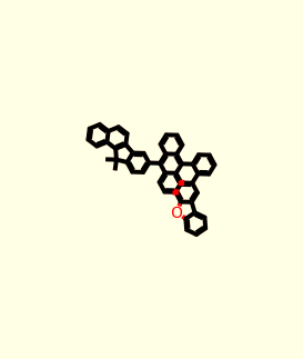 CC1(C)c2ccc(-c3c4ccccc4c(-c4ccccc4-c4ccc5oc6ccccc6c5c4)c4ccccc34)cc2-c2ccc3ccccc3c21